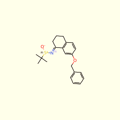 CC(C)(C)[S@+]([O-])/N=C1\CCCc2ccc(OCc3ccccc3)cc21